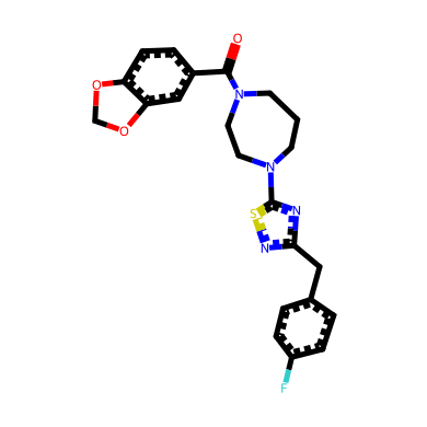 O=C(c1ccc2c(c1)OCO2)N1CCCN(c2nc(Cc3ccc(F)cc3)ns2)CC1